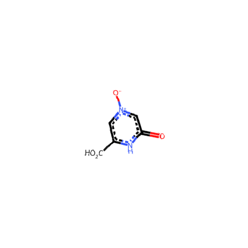 O=C(O)c1c[n+]([O-])cc(=O)[nH]1